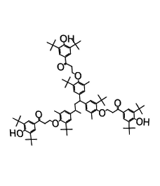 Cc1cc(C(C)CC(c2cc(C)c(OCCC(=O)c3cc(C(C)(C)C)c(O)c(C(C)(C)C)c3)c(C(C)(C)C)c2)c2cc(C)c(OCCC(=O)c3cc(C(C)(C)C)c(O)c(C(C)(C)C)c3)c(C(C)(C)C)c2)cc(C(C)(C)C)c1OCCC(=O)c1cc(C(C)(C)C)c(O)c(C(C)(C)C)c1